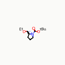 CCO/C=C1\CCCN1C(=O)OC(C)(C)C